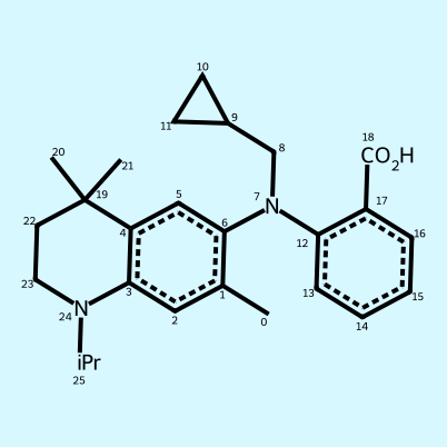 Cc1cc2c(cc1N(CC1CC1)c1ccccc1C(=O)O)C(C)(C)CCN2C(C)C